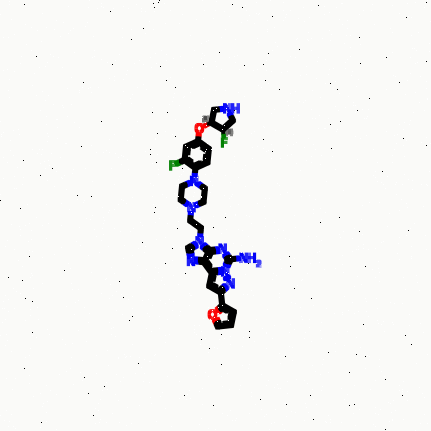 Nc1nc2c(ncn2CCN2CCN(c3ccc(O[C@H]4CNC[C@H]4F)cc3F)CC2)c2cc(-c3ccco3)nn12